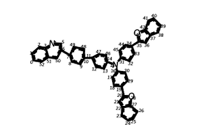 c1ccc2ncc(-c3ccc(-c4ccc(N(c5ccc(-c6cc7ccccc7o6)cc5)c5ccc(-c6cc7ccccc7o6)cc5)cc4)cc3)cc2c1